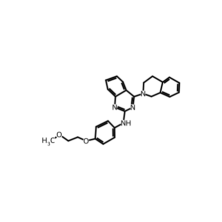 COCCOc1ccc(Nc2nc(N3CCc4ccccc4C3)c3ccccc3n2)cc1